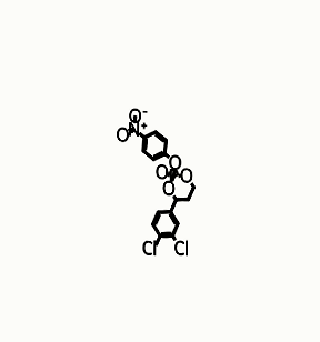 O=[N+]([O-])c1ccc(OP2(=O)OCCC(c3ccc(Cl)c(Cl)c3)O2)cc1